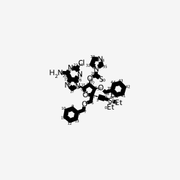 CC[Si](C#C[C@]1(COCc2ccccc2)O[C@@H](n2cnc3c(N)nc(Cl)nc32)[C@H](OC(=S)n2ccnc2)[C@@H]1OCc1ccccc1)(CC)CC